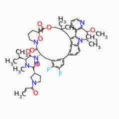 C=CC(=O)N1CC[C@H](C(=O)N(C)[C@H](C(=O)N[C@H]2Cc3cc(cc(F)c3F)-c3ccc4c(c3)c(c(-c3cccnc3[C@H](C)OC)n4CC)CC(C)(C)COC(=O)[C@@H]3CCCN(O3)C2=O)C(C)C)C1